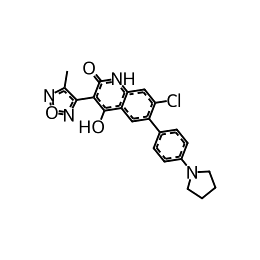 Cc1nonc1-c1c(O)c2cc(-c3ccc(N4CCCC4)cc3)c(Cl)cc2[nH]c1=O